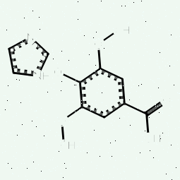 COc1cc(C(=O)O)cc(OC)c1O.c1c[nH]cn1